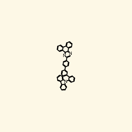 c1cc(-c2ccc(-c3cnc4c5ccccc5c5ccccc5c4n3)cc2)cc(-c2ccccc2-n2c3ccccc3c3ccccc32)c1